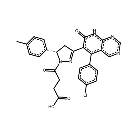 Cc1ccc([C@@H]2CC(c3c(-c4ccc(Cl)cc4)c4cncnc4[nH]c3=O)=NN2C(=O)CCC(=O)O)cc1